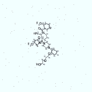 CCC[C@H]1N(C(=O)c2cnccc2C(F)(F)F)CCC[C@@]1(Oc1csc(C(F)(F)F)c1)C(=O)N1CCN(c2ccccc2OCCOCCO)CC1